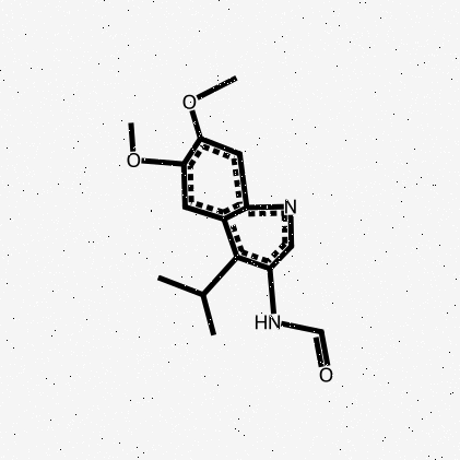 COc1cc2ncc(NC=O)c(C(C)C)c2cc1OC